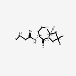 CNCC(=S)N[C@@H]1CCS[C@H]2CC(C)(C)CN2C1=O